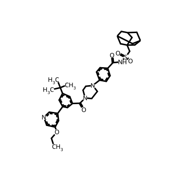 CCOc1cncc(-c2cc(C(=O)N3CCN(c4ccc(C(=O)NS(=O)(=O)CC56CC7CC(CC(C7)C5)C6)cc4)CC3)cc(C(C)(C)C)c2)c1